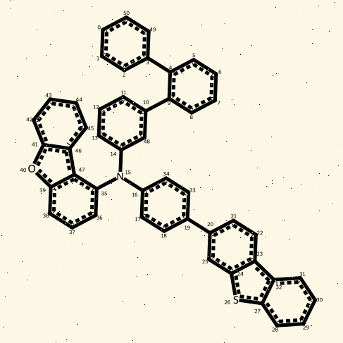 c1ccc(-c2ccccc2-c2cccc(N(c3ccc(-c4ccc5c(c4)sc4ccccc45)cc3)c3cccc4oc5ccccc5c34)c2)cc1